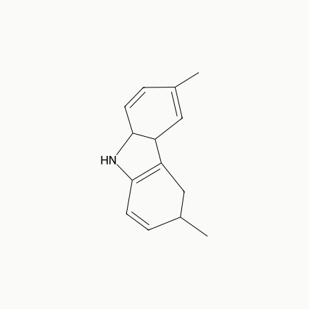 CC1=CC2C3=C(C=CC(C)C3)NC2C=C1